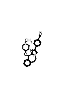 CN1CCC(OC2c3ccccc3CCn3cc(-c4ccc(C#N)cc4)nc32)CC1